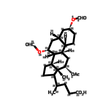 CC(=O)O[C@H]1C[C@@H]2[C@H]3CC[C@@H](OC=O)C[C@H]3C[C@@H](OC=O)[C@H]2[C@@H]2CCC([C@H](C)CCC(=O)O)[C@@]12C